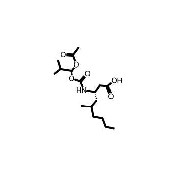 CCCC[C@@H](C)C[C@@H](CC(=O)O)NC(=O)O[C@H](OC(C)=O)C(C)C